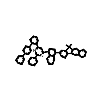 CC1(C)c2cc(-c3ccc(-c4cc(-c5ccccc5-c5ccc(-c6ccccc6)cc5)nc(-c5ccccc5)n4)c4ccccc34)ccc2-c2cc3ccccc3cc21